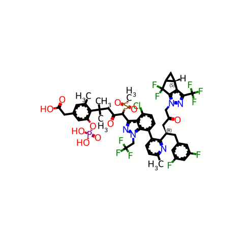 Cc1ccc(-c2ccc(Cl)c3c(C(C(=O)CC(C)(C)c4c(C)cc(CC(=O)O)cc4OP(=O)(O)O)S(C)(=O)=O)nn(CC(F)(F)F)c23)c([C@@H](CC(=O)Cn2nc(C(F)(F)F)c3c2C(F)(F)C2C[C@H]32)Cc2cc(F)cc(F)c2)n1